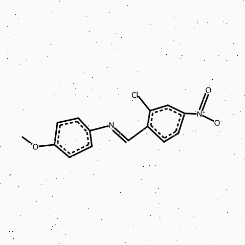 COc1ccc(N=Cc2ccc([N+](=O)[O-])cc2Cl)cc1